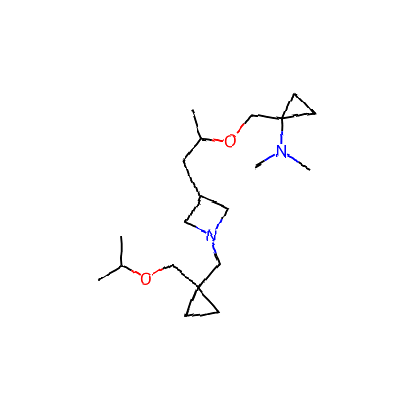 CC(C)OCC1(CN2CC(CC(C)OCC3(N(C)C)CC3)C2)CC1